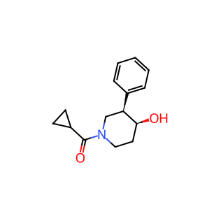 O=C(C1CC1)N1CC[C@H](O)[C@H](c2ccccc2)C1